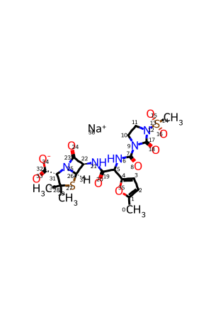 Cc1ccc(C(NC(=O)N2CCN(S(C)(=O)=O)C2=O)C(=O)N[C@@H]2C(=O)N3[C@@H]2SC(C)(C)[C@@H]3C(=O)[O-])o1.[Na+]